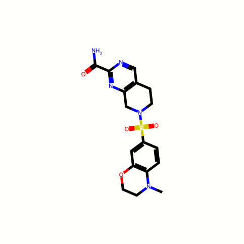 CN1CCOc2cc(S(=O)(=O)N3CCc4[c]nc(C(N)=O)nc4C3)ccc21